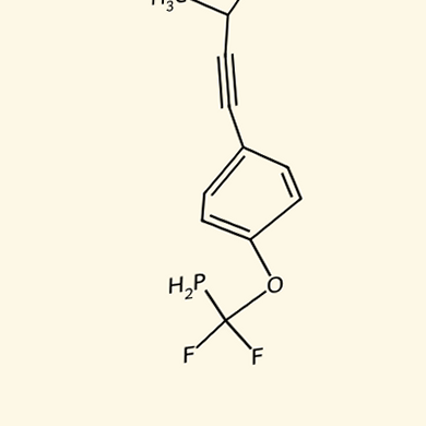 CC(C)C#Cc1ccc(OC(F)(F)P)cc1